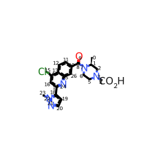 C[C@H]1CN(C(=O)O)CCN1C(=O)c1ccc2c(Cl)cc(-c3ccnn3C)nc2c1